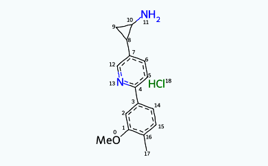 COc1cc(-c2ccc(C3CC3N)cn2)ccc1C.Cl